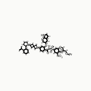 C=C(C)c1ccccc1C1CCCN1C1CC2(C1)CN(c1ccc(C(=O)NS(=O)(=O)c3cc4c(c([N+](=O)[O-])c3)NC(COC(C)C)CO4)c(Oc3cnc4[nH]ccc4c3)c1)C2